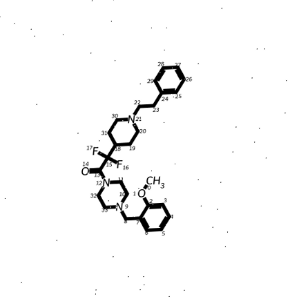 COc1ccccc1CN1CCN(C(=O)C(F)(F)C2CCN(CCc3ccccc3)CC2)CC1